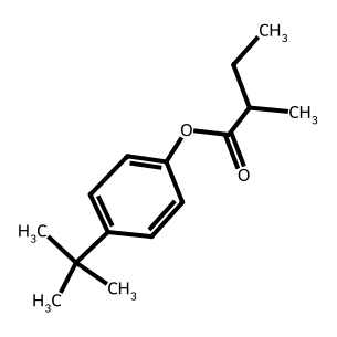 CCC(C)C(=O)Oc1ccc(C(C)(C)C)cc1